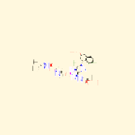 CCN(C)C(=O)O[C@H]1CC[C@@]2(COc3nc(N4CCC[C@@](C)(O)C4)c4cnc(-c5cc(O)cc6ccc(F)c(F)c56)c(F)c4n3)CCCN12